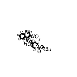 CC(C)(C)OC(=O)N1CCC(O)(CNc2c([N+](=O)[O-])cnc3ccccc23)CC1